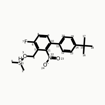 C[SiH](C)OCc1c(F)ccc(-c2ccc(C(C)(C)C)cc2)c1[N+](=O)[O-]